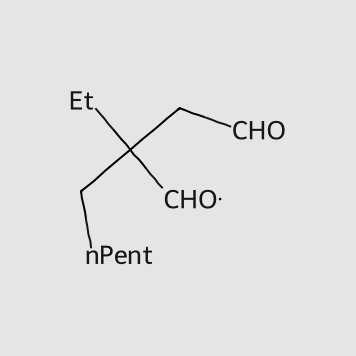 CCCCCCC([C]=O)(CC)CC=O